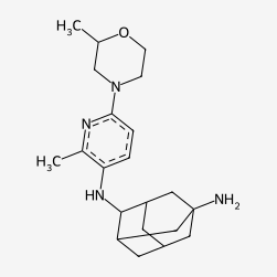 Cc1nc(N2CCOC(C)C2)ccc1NC1C2CC3CC1CC(N)(C3)C2